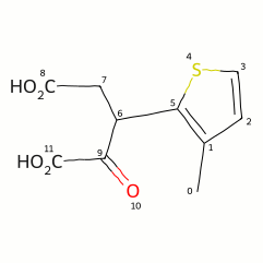 Cc1ccsc1C(CC(=O)O)C(=O)C(=O)O